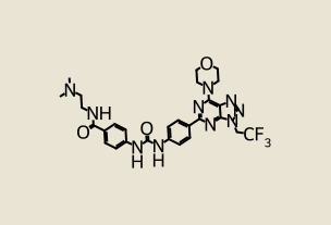 CN(C)CCNC(=O)c1ccc(NC(=O)Nc2ccc(-c3nc(N4CCOCC4)c4nnn(CC(F)(F)F)c4n3)cc2)cc1